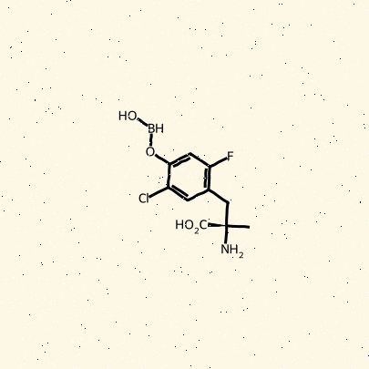 C[C@](N)(Cc1cc(Cl)c(OBO)cc1F)C(=O)O